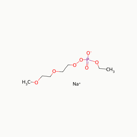 CCOP(=O)([O-])OOCCOCCOC.[Na+]